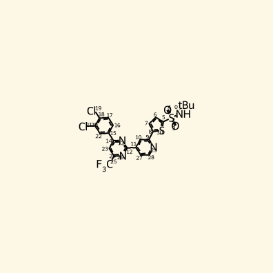 CC(C)(C)NS(=O)(=O)c1ccc(-c2cc(-c3nc(-c4ccc(Cl)c(Cl)c4)cc(C(F)(F)F)n3)ccn2)s1